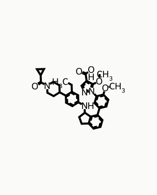 CCc1cc(NC2CCc3cccc(-c4ccc(OC)c(-n5ncc(C(=O)O)c5OC)c4)c32)ccc1C1CCN(C(=O)C2CC2)CC1